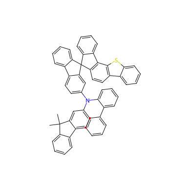 CC1(C)c2ccccc2-c2ccc(N(c3ccc4c(c3)C3(c5ccccc5-4)c4ccccc4-c4c3ccc3c4sc4ccccc43)c3ccccc3-c3ccccc3)cc21